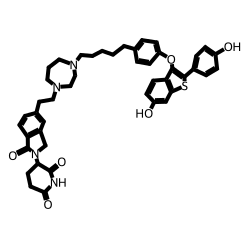 O=C1CCC(N2Cc3cc(CCN4CCCN(CCCCCc5ccc(Oc6c(-c7ccc(O)cc7)sc7cc(O)ccc67)cc5)CC4)ccc3C2=O)C(=O)N1